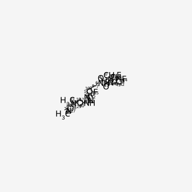 Cc1c(C(=O)NCC=Cc2ccc3nc(Nc4ccc(N(C)C5CCN(C)CC5)cc4)ncc3c2F)c(=O)n(Cc2ccc(F)c(F)c2)n1C